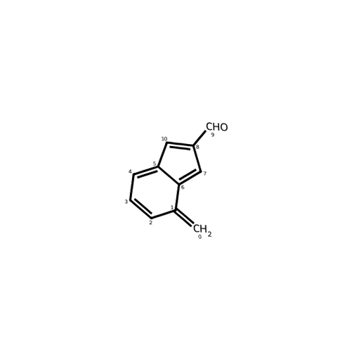 C=c1cccc2c1=CC(C=O)=C2